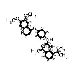 COc1cc2nccc(Oc3ccc(NC(=O)Nc4c(C(C)C)cccc4C(C)C)cc3)c2cc1OC